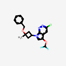 CC1(OCc2ccccc2)CC(n2cc(OC(F)F)c3cc(Cl)nnc32)C1